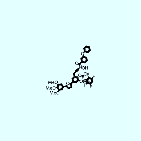 COc1cc(C2CCC(c3cc(OC)c(OC)c(OC)c3)O2)cc(CC#CN(O)C(=O)c2cccc(Oc3ccccc3)c2)c1OC(C)Sc1c(F)c(F)cc(F)c1F